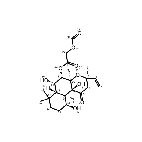 C=C[C@@]1(C)CC(=O)[C@]2(O)[C@@]3(C)[C@@H](O)CCC(C)(C)[C@@H]3[C@H](O)[C@H](OC(=O)COC=O)[C@@]2(C)O1